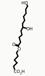 O=C(O)CCCCCOC(=O)CCCCC(O)CCCCCCO